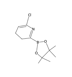 CC1(C)OB(C2=NC(Cl)=CCC2)OC1(C)C